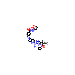 CC(=O)c1c(C)c2cnc(Nc3ccc4c(n3)CCN(Cc3ccc(C(=O)NOC5CCCCO5)cc3)C4)nc2n(C2CCCC2)c1=O